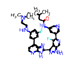 CC(C)CC(=O)Nc1cncc(-c2ncc3[nH]nc(-c4nc5c(-c6cc(F)cc(NCCN(C)C)c6)ccnc5[nH]4)c3c2F)c1